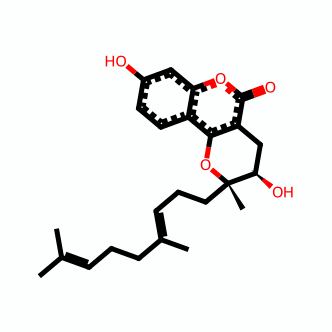 CC(C)=CCC/C(C)=C/CC[C@]1(C)Oc2c(c(=O)oc3cc(O)ccc23)C[C@H]1O